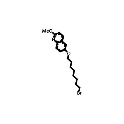 COc1ccc2cc(OCCCCCCCCBr)ccc2n1